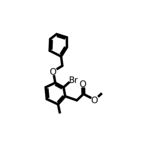 COC(=O)Cc1c(C)ccc(OCc2ccccc2)c1Br